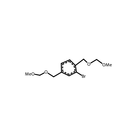 COCOCc1ccc(COCOC)c(Br)c1